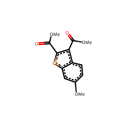 COC(=O)c1sc2cc(OC)ccc2c1C(=O)OC